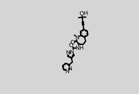 CN1C(=O)[C@H](NC(=O)n2cc(Cc3cccnn3)cn2)CCc2ccc(C#CC(C)(C)O)cc21